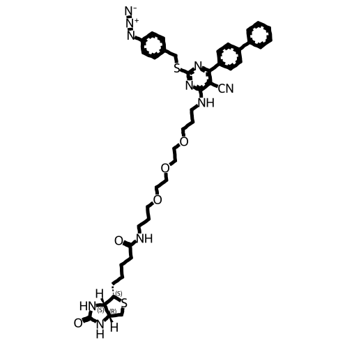 N#Cc1c(NCCCOCCOCCOCCCNC(=O)CCCC[C@@H]2SC[C@@H]3NC(=O)N[C@@H]32)nc(SCc2ccc(N=[N+]=[N-])cc2)nc1-c1ccc(-c2ccccc2)cc1